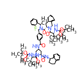 C[C@H](c1ccccc1F)N(Cc1ccc(C(=O)N[C@H]2C[C@@H](C(=O)N[C@@H]3CCCc4ccccc43)N(C(=O)[C@@H](NC(=O)OC(C)(C)C)C(C)(C)C)C2)cc1)C(=O)[C@@H]1Cc2ccccc2CN1C(=O)[C@@H](NC(=O)OC(C)(C)C)C(C)(C)C